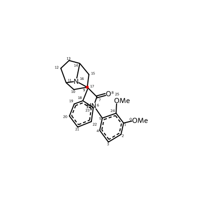 COc1cccc(NC(=O)C2CC3CCC(C2)N3Cc2ccccc2)c1OC